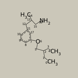 CCC(CC)COc1cccc(CC(C)CN)c1